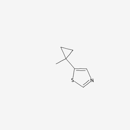 CC1(c2cncs2)CC1